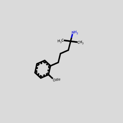 COc1ccccc1CCCC(C)(C)N